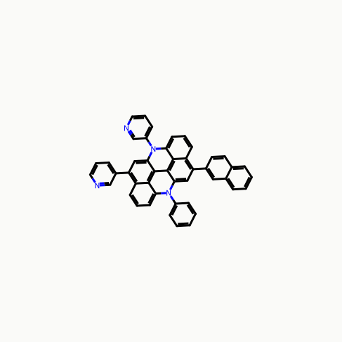 c1ccc(-n2c3cc(-c4ccc5ccccc5c4)c4cccc5c4c3-c3c4c(cccc42)c(-c2cccnc2)cc3n5-c2cccnc2)cc1